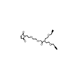 C#CCOCCN(CCOCC#C)C(=O)COCCOCCN1C(=O)C=CC1=O